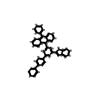 c1ccc(-c2ccc(-c3nc(-c4cc5ccccc5s4)nc(-c4c5ccccc5c(-c5ccccc5)c5ccccc45)n3)cc2)cc1